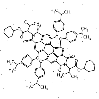 CC(C)c1ccc(Oc2cc3c4c(cc(Oc5ccc(C(C)C)cc5)c5c6c(Oc7ccc(C(C)C)cc7)cc7c8c(cc(Oc9ccc(C(C)C)cc9)c(c2c45)c86)C(=O)N(C(C(=O)OC2CCCCC2)C(C)C)C7=O)C(=O)N(C(C(=O)OC2CCCCC2)C(C)C)C3=O)cc1